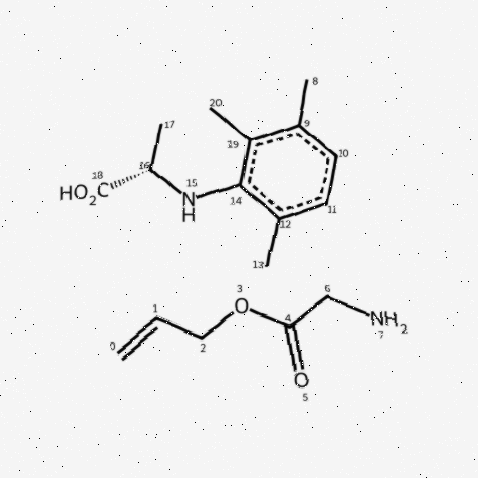 C=CCOC(=O)CN.Cc1ccc(C)c(N[C@@H](C)C(=O)O)c1C